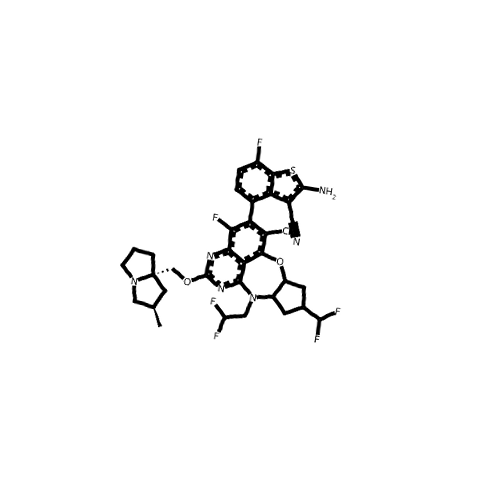 C[C@H]1CN2CCC[C@@]2(COc2nc3c4c(c(Cl)c(-c5ccc(F)c6sc(N)c(C#N)c56)c(F)c4n2)OC2CC(C(F)F)CC2N3CC(F)F)C1